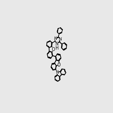 c1ccc(C2=NC(c3cccc4c3oc3c(-c5cccc6oc7c(-n8c9ccccc9c9ccccc98)cccc7c56)cccc34)NC(c3ccccc3)=N2)cc1